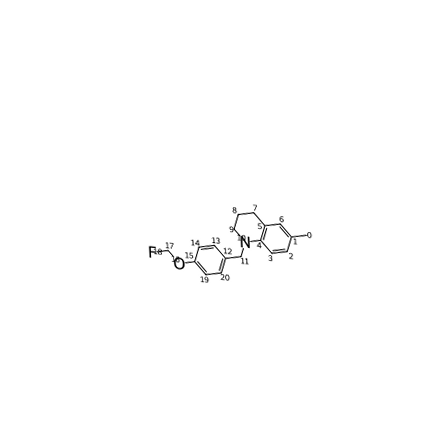 Cc1ccc2c(c1)CCCN2Cc1ccc(OCF)cc1